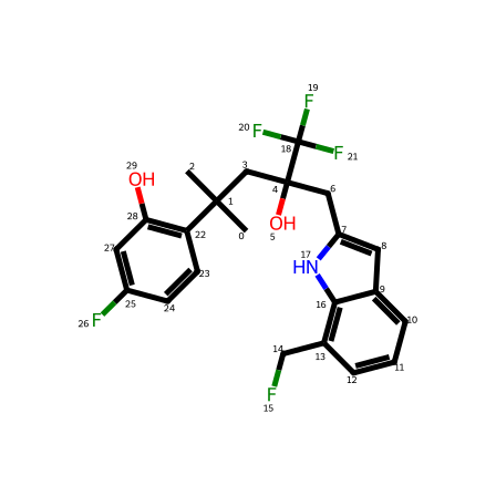 CC(C)(CC(O)(Cc1cc2cccc(CF)c2[nH]1)C(F)(F)F)c1ccc(F)cc1O